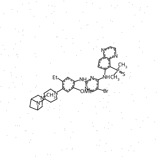 CCc1cc(Nc2ncc(Br)c(Nc3ccc4nccnc4c3P(C)(C)=S)n2)c(OC)cc1N1CCC(N2C3CC2CN(C)C3)CC1